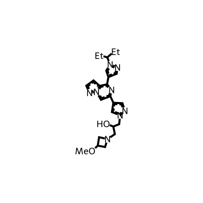 CCC(CC)n1cc(-c2nc(-c3cnn(CC(O)CN4CC(OC)C4)c3)cn3nccc23)cn1